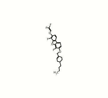 CCCCC1CC=C(COc2ccc3c(oc4c(F)c(OC=C(F)F)ccc43)c2F)CC1